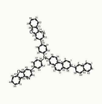 c1ccc2cc(-c3ccc4c(ccc5cc(N(c6ccc(-c7cnc8c(c7)oc7ccccc78)cc6)c6ccc(-c7cnc8c(c7)oc7ccccc78)cc6)ccc54)c3)ccc2c1